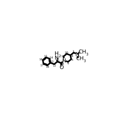 CN(C)CC1CCN(C(=O)C(N)Cc2ccccc2)CC1